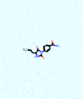 C=CCC1NC(=O)N(c2ccc(C(N)=O)cc2)C1=O